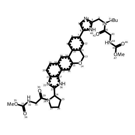 CC[C@H](C)N(Cc1ncc(-c2ccc3c(c2)COc2cc4c(ccc5nc(C6CCCN6C(=O)CNC(=O)OC)[nH]c54)cc2-3)[nH]1)C(=O)CNC(=O)OC